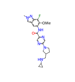 COc1c(NC(=O)c2cnc(N3CCC(CNC4CC4)C3)cn2)cc2cn(C)nc2c1F